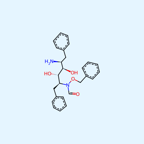 N[C@@H](Cc1ccccc1)[C@@H](O)[C@@H](O)[C@H](Cc1ccccc1)N(C=O)OCc1ccccc1